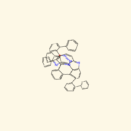 c1ccc(-c2ccccc2-c2ccc3c(c2-c2ccccc2-c2nnnc(-c4ccccc4-c4ccccc4)c2-c2ccccc2)-c2c4c(ccc2=N3)=c2ccccc2=N4)cc1